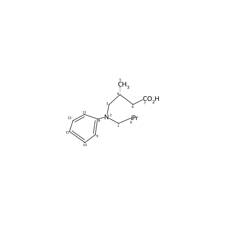 CC(C)CN(C[C@H](C)CC(=O)O)c1ccccc1